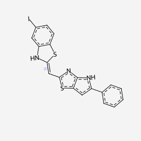 Ic1ccc2c(c1)N/C(=C/c1nc3[nH]c(-c4ccccc4)cc3s1)S2